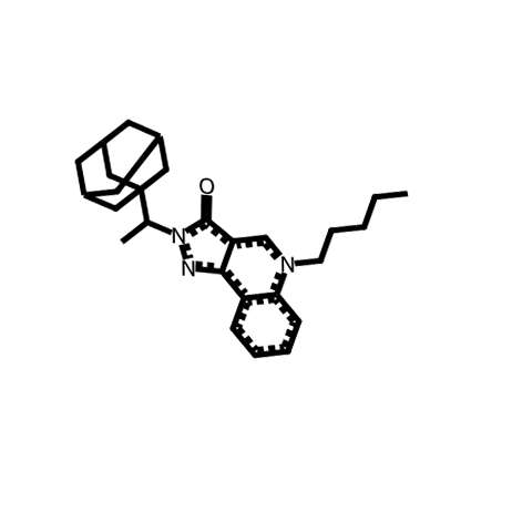 CCCCCn1cc2c(=O)n(C(C)C34CC5CC(CC(C5)C3)C4)nc-2c2ccccc21